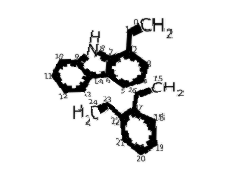 C=Cc1cccc2c1[nH]c1ccccc12.C=Cc1ccccc1C=C